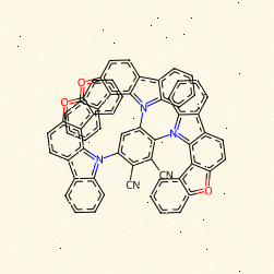 N#Cc1c(-n2c3ccccc3c3ccc4oc5ccccc5c4c32)cc(-n2c3ccccc3c3ccc4oc5ccccc5c4c32)c(-n2c3ccccc3c3ccc4oc5ccccc5c4c32)c1C#N